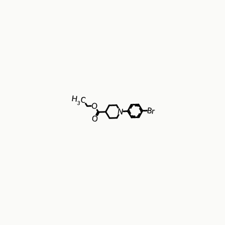 CCOC(=O)C1CCN(c2ccc(Br)cc2)CC1